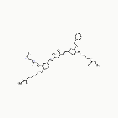 CC/C=C\C=C(/C)COc1cc(/C=C/C(O)CC(=O)/C=C/c2ccc(OCCCNC(=O)OC(C)(C)C)c(OCc3ccccc3)c2)ccc1OCCCCCC(=O)OC(C)(C)C